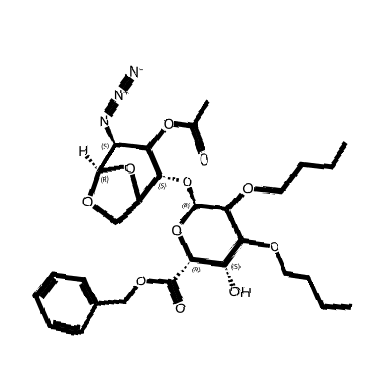 CCCCOC1C(OCCCC)[C@H](O)[C@H](C(=O)OCc2ccccc2)O[C@H]1O[C@@H]1C2CO[C@H](O2)[C@@H](N=[N+]=[N-])C1OC(C)=O